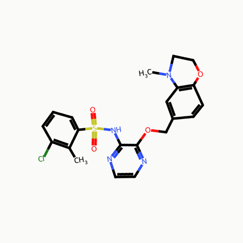 Cc1c(Cl)cccc1S(=O)(=O)Nc1nccnc1OCc1ccc2c(c1)N(C)CCO2